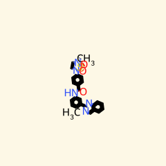 Cc1ccc(NC(=O)c2ccc(N3CCN(C)S3(=O)=O)cc2)cc1-c1ncc2ccccc2n1